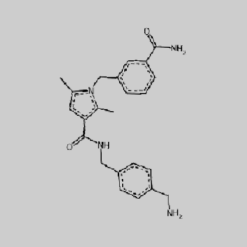 Cc1cc(C(=O)NCc2ccc(CN)cc2)c(C)n1Cc1cccc(C(N)=O)c1